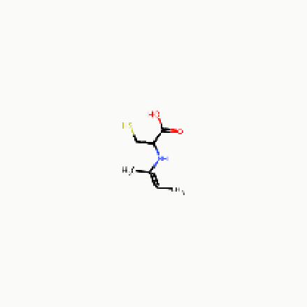 CC=C(C)NC(CS)C(=O)O